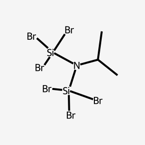 CC(C)N([Si](Br)(Br)Br)[Si](Br)(Br)Br